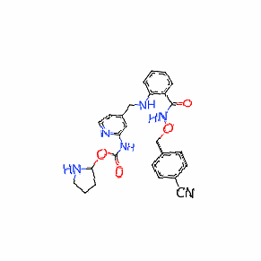 N#Cc1ccc(CONC(=O)c2ccccc2NCc2ccnc(NC(=O)OC3CCCN3)c2)cc1